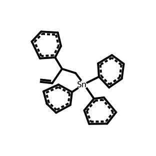 C=CC([CH2][Sn]([c]1ccccc1)([c]1ccccc1)[c]1ccccc1)c1ccccc1